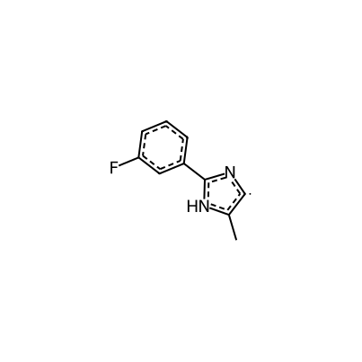 Cc1[c]nc(-c2cccc(F)c2)[nH]1